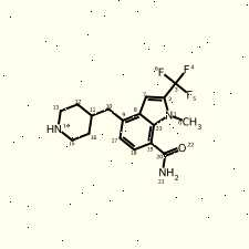 Cn1c(C(F)(F)F)cc2c(CC3CCNCC3)ccc(C(N)=O)c21